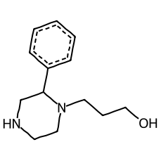 OCCCN1CCNCC1c1ccccc1